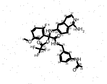 COc1ccc(F)c(C(Nc2ccc3c(N)nccc3c2)(OC(=O)C(F)(F)F)C(=O)NCc2cccc(NC(C)=O)c2)c1